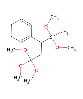 COC(CC(c1ccccc1)[Si](C)(OC)OC)(OC)OC